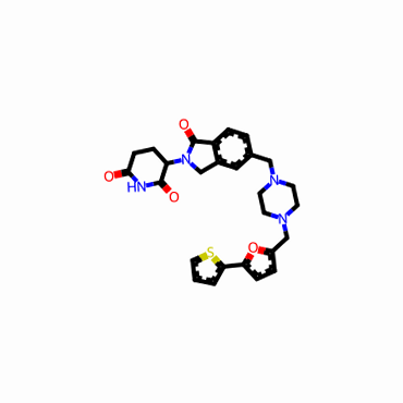 O=C1CCC(N2Cc3cc(CN4CCN(Cc5ccc(-c6cccs6)o5)CC4)ccc3C2=O)C(=O)N1